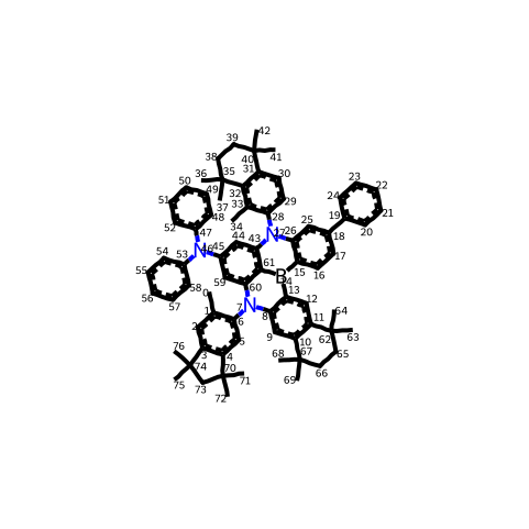 Cc1cc2c(cc1N1c3cc4c(cc3B3c5ccc(-c6ccccc6)cc5N(c5ccc6c(c5C)C(C)(C)CCC6(C)C)c5cc(N(c6ccccc6)c6ccccc6)cc1c53)C(C)(C)CCC4(C)C)C(C)(C)CC2(C)C